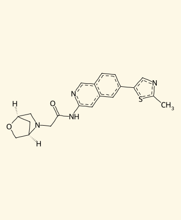 Cc1ncc(-c2ccc3cnc(NC(=O)CN4C[C@H]5C[C@@H]4CO5)cc3c2)s1